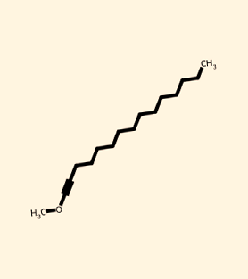 CCCCCCCCCCCCCC#COC